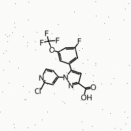 O=C(O)c1cc(-c2cc(F)cc(OC(F)(F)F)c2)n(-c2ccnc(Cl)c2)n1